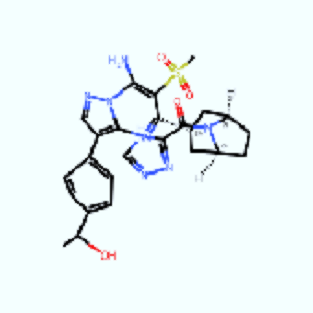 CC(O)c1ccc(-c2cnn3c(N)c(S(C)(=O)=O)c([C@@H]4C[C@H]5CC[C@@H](C4)N5C(=O)c4nnc[nH]4)nc23)cc1